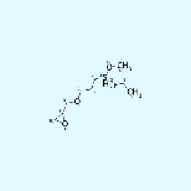 CCO[SiH](CCCOCC1CO1)OC